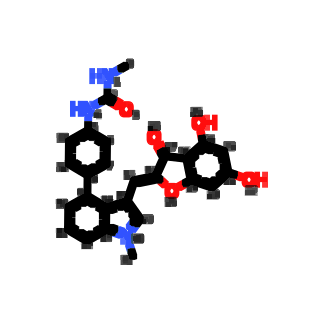 CNC(=O)Nc1ccc(-c2cccc3c2c(C=C2Oc4cc(O)cc(O)c4C2=O)cn3C)cc1